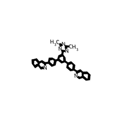 Cc1nc(C)nc(-c2cc(-c3ccc(-c4cc5ccccc5cn4)cc3)cc(-c3ccc(-c4cc5ccccc5cn4)cc3)c2)n1